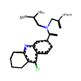 C=C(CCCCC)CN(CC(CCCC)NC)C(=C)c1ccc2c(Cl)c3c(nc2c1)CCCC3